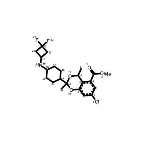 COC(=O)c1cc(Cl)cc2c1C(C)OC(C)(C1CCC(NC3CC(F)(F)C3)CC1)O2